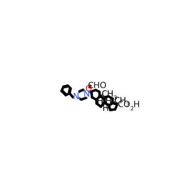 C[C@]12CCC(OC=O)(N3CCN(Cc4ccccc4)CC3)CC1CC[C@@H]1[C@@H]2CC[C@]2(C)C(C(=O)O)CC[C@@H]12